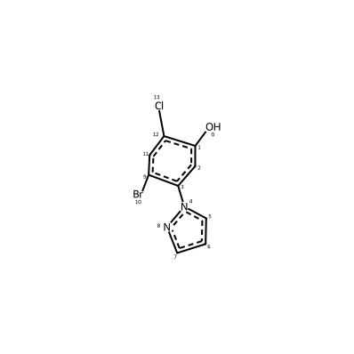 Oc1cc(-n2cccn2)c(Br)cc1Cl